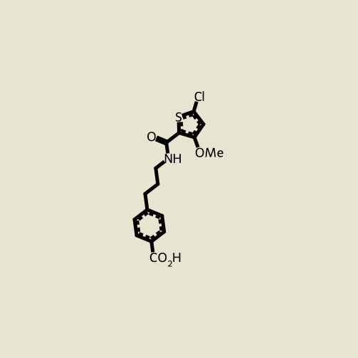 COc1cc(Cl)sc1C(=O)NCCCc1ccc(C(=O)O)cc1